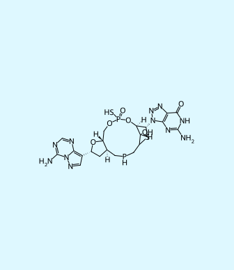 Nc1nc2c(nnn2[C@@H]2SC3CPC[C@H]4C[C@H](c5cnn6c(N)ncnc56)O[C@@H]4COP(=O)(S)O[C@@H]2[C@@H]3O)c(=O)[nH]1